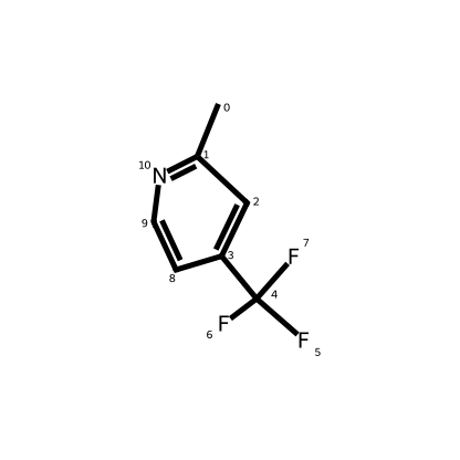 Cc1cc(C(F)(F)F)c[c]n1